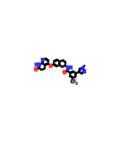 Cn1cc(-c2cc(C(=O)N[C@@H]3CCc4ccc(Oc5ccnc6c5CCC(=O)N6)cc4C3)cc(C(F)(F)F)c2)cn1